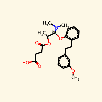 COc1cccc(CCc2ccccc2O[C@@H](C(C)OC(=O)CCC(=O)O)N(C)C)c1